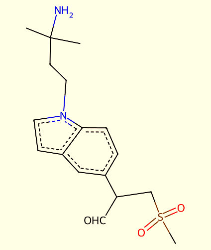 CC(C)(N)CCn1ccc2cc(C(C=O)CS(C)(=O)=O)ccc21